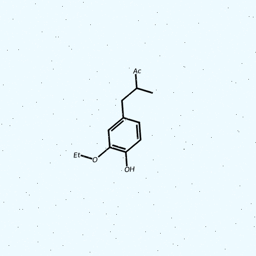 CCOc1cc(CC(C)C(C)=O)ccc1O